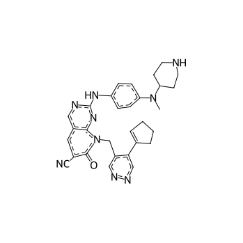 CN(c1ccc(Nc2ncc3cc(C#N)c(=O)n(Cc4cnncc4C4=CCCC4)c3n2)cc1)C1CCNCC1